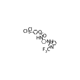 CC(C)(Oc1ccc(C2CC2(Cl)Cl)cc1)C(=O)N[C@@H]1CCC[C@H](Nc2cc(C(F)(F)F)nc3ccccc23)C1